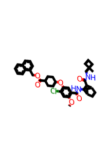 COc1cc(Cl)c(OC2CCC(C(=O)OCc3cccc4ccccc34)CC2)cc1C(=O)NC1C2CCC(C2)C1C(=O)NCC1(C)CCC1